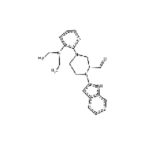 CCN(CC)c1cccnc1N1CCN(c2cc3ccccc3[nH]2)C(C=O)C1